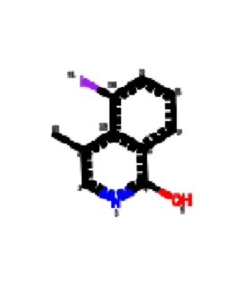 Cc1cnc(O)c2cccc(I)c12